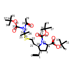 C=C[C@@H]1C[C@H](C(=O)OC(C)(C)C)N(C(=O)OC(C)(C)C)[C@@H]1CCSC(C)(C)N(C(C)=O)C(=O)OC(C)(C)C